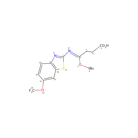 CC(C)(C)OC(CCC(=O)O)=Nc1nc2ccc(OC(F)(F)F)cc2s1